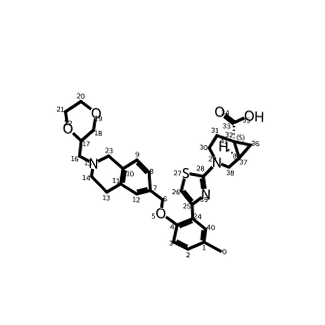 Cc1ccc(OCc2ccc3c(c2)CCN(CC2COCCO2)C3)c(-c2csc(N3CC[C@@]4(C(=O)O)C[C@H]4C3)n2)c1